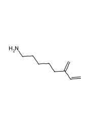 C=CC(=C)CCCCCN